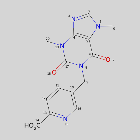 Cn1cnc2c1c(=O)n(Cc1ccc(C(=O)O)nc1)c(=O)n2C